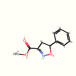 CCCOC(=O)C1=NOC(c2ccccc2)C1